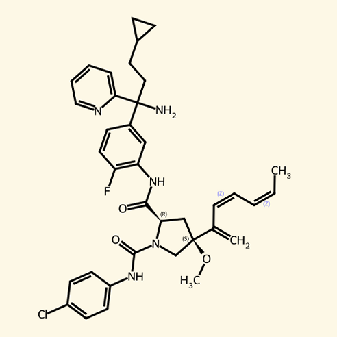 C=C(/C=C\C=C/C)[C@@]1(OC)C[C@H](C(=O)Nc2cc(C(N)(CCC3CC3)c3ccccn3)ccc2F)N(C(=O)Nc2ccc(Cl)cc2)C1